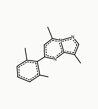 Cc1cccc(C)c1-c1cc(C)n2ncc(C)c2n1